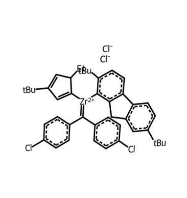 CCC1C=C(C(C)(C)C)C=[C]1[Zr+2](=[C](c1ccc(Cl)cc1)c1ccc(Cl)cc1)[c]1c(C(C)(C)C)ccc2c1Cc1cc(C(C)(C)C)ccc1-2.[Cl-].[Cl-]